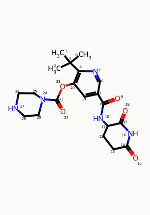 CC(C)(C)c1ncc(C(=O)NC2CCC(=O)NC2=O)cc1OC(=O)N1CCNCC1